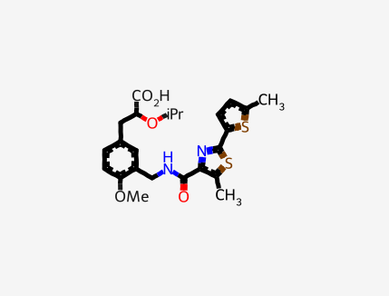 COc1ccc(CC(OC(C)C)C(=O)O)cc1CNC(=O)c1nc(-c2ccc(C)s2)sc1C